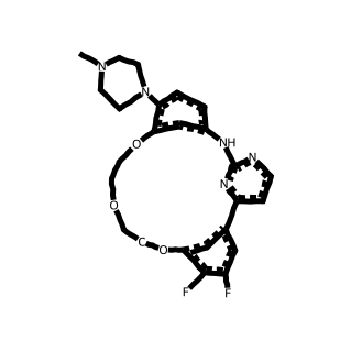 CN1CCN(c2ccc3cc2OCCOCCOc2cc(cc(F)c2F)-c2ccnc(n2)N3)CC1